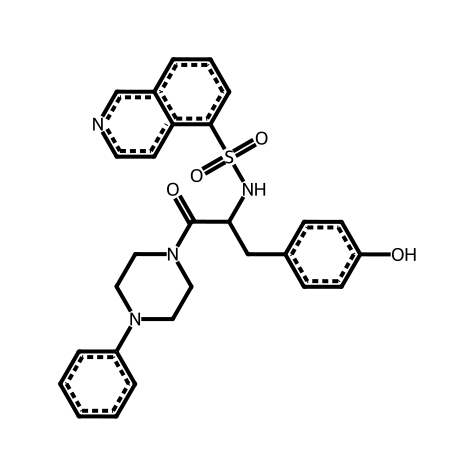 O=C(C(Cc1ccc(O)cc1)NS(=O)(=O)c1cccc2cnccc12)N1CCN(c2ccccc2)CC1